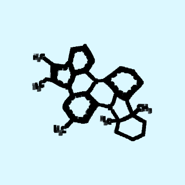 Cc1cc2c3c(c1)-n1c(C)c(C)c4cccc(c41)B3c1cccc3c1N2C1(C)CCCCC31C